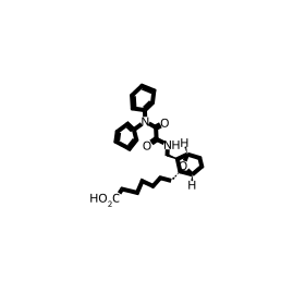 O=C(O)CCCCCC[C@@H]1[C@@H](CNC(=O)C(=O)N(c2ccccc2)c2ccccc2)[C@H]2CC[C@@H]1O2